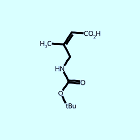 C/C(=C/C(=O)O)CNC(=O)OC(C)(C)C